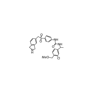 COCc1ccc(C(C)NC(=O)Nc2ccc(S(=O)(=O)Cc3ccc4c(c3)CNC4)cc2)cc1Cl